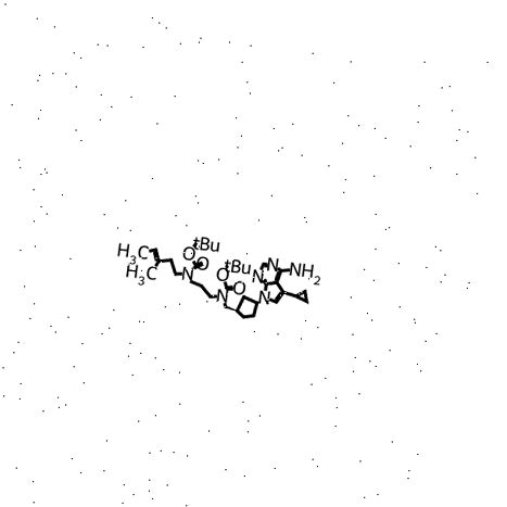 C/C=C(\C)CCN(CCCN(C[C@@H]1CC[C@H](n2cc(C3CC3)c3c(N)ncnc32)C1)C(=O)OC(C)(C)C)C(=O)OC(C)(C)C